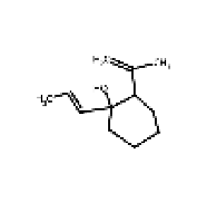 C=C(C)C1CCCCC1(O)C=CC